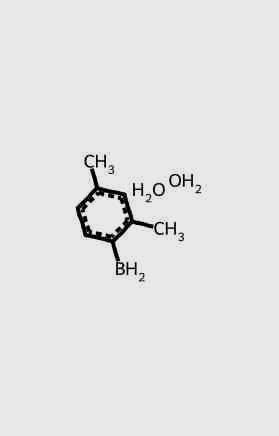 Bc1ccc(C)cc1C.O.O